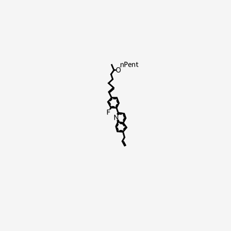 C=CCc1ccc2nc(-c3ccc(C=CCCCC(C)OCCCCC)cc3F)ccc2c1